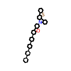 C1=CCC(C2=CCC(c3ccc(-c4ccc(-c5ccc6c(c5)oc5cc(-n7c8ccccc8c8c9sc%10ccccc%10c9ccc87)ccc56)cc4)cc3)C=C2)C=C1